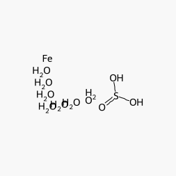 O.O.O.O.O.O.O.O=S(O)O.[Fe]